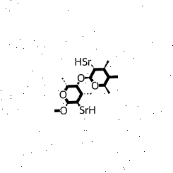 CO[C@@H]1O[C@H](C)[C@@H](O[C@@H]2O[C@H](C)C(C)[C@H](C)[C@H]2[SrH])[C@H](C)[C@H]1[SrH]